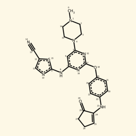 CN1CCN(c2cc(Nc3ncc(C#N)s3)nc(Oc3ccc(NC4=CCCC4=O)cc3)n2)CC1